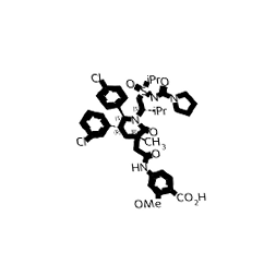 COc1cc(NC(=O)C[C@@]2(C)C[C@H](c3cccc(Cl)c3)[C@@H](c3ccc(Cl)cc3)N([C@H](CS(=O)(=NC(=O)N3CCCC3)C(C)C)C(C)C)C2=O)ccc1C(=O)O